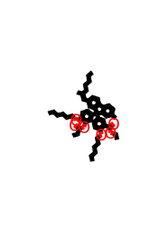 CCCCCCOc1ccc(C2(c3ccc(OCCCCCC)c(C(=O)OCC)c3)c3cc(C)ccc3-c3ccc(C=C(C)CCCCC)cc32)cc1OC(=O)CC